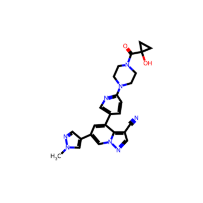 Cn1cc(-c2cc(-c3ccc(N4CCN(C(=O)C5(O)CC5)CC4)nc3)c3c(C#N)cnn3c2)cn1